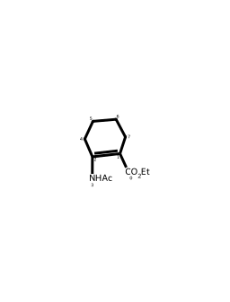 CCOC(=O)C1=C(NC(C)=O)CCCC1